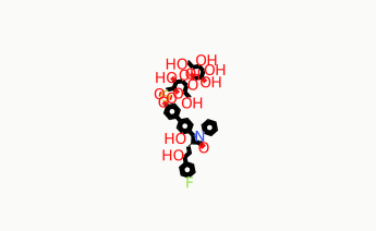 O=C1[C@H](CCC(O)c2ccc(F)cc2)C(c2ccc(-c3ccc(OS(=O)(=O)CC4OC(CO)C(OC5OC(CO)C(O)C(O)C5O)C(O)C4O)cc3)cc2O)N1c1ccccc1